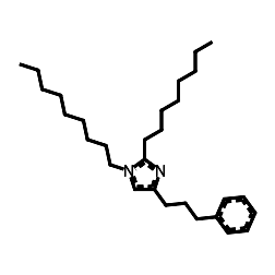 CCCCCCCCCn1cc(CCCc2ccccc2)nc1CCCCCCCC